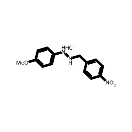 COc1ccc(NNCc2ccc([N+](=O)[O-])cc2)cc1.Cl